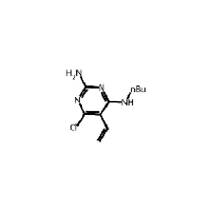 C=Cc1c(Cl)nc(N)nc1NCCCC